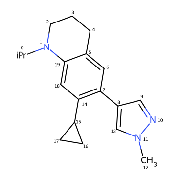 CC(C)N1CCCc2cc(-c3cnn(C)c3)c(C3CC3)cc21